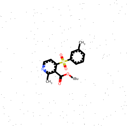 Cc1cccc(S(=O)(=O)c2ccnc(C)c2C(=O)OC(C)(C)C)c1